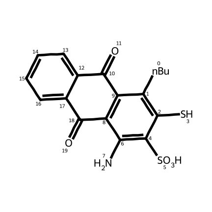 CCCCc1c(S)c(S(=O)(=O)O)c(N)c2c1C(=O)c1ccccc1C2=O